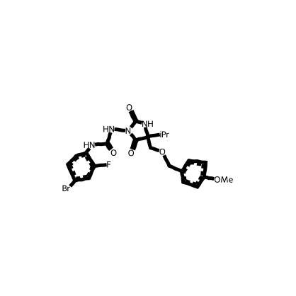 COc1ccc(COCC2(C(C)C)NC(=O)N(NC(=O)Nc3ccc(Br)cc3F)C2=O)cc1